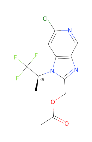 CC(=O)OCc1nc2cnc(Cl)cc2n1[C@@H](C)C(F)(F)F